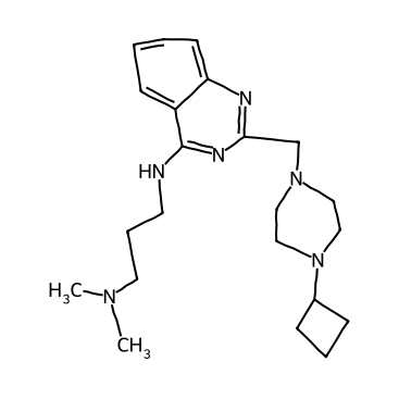 CN(C)CCCNc1nc(CN2CCN(C3CCC3)CC2)nc2ccccc12